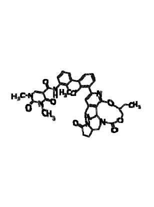 CCC1COC(=O)N(CC2CCC(=O)N2)C2CCc3cc(-c4cccc(-c5cccc(NC(=O)c6cn(C)c(=O)n(C)c6=O)c5C)c4Cl)nc(c32)O1